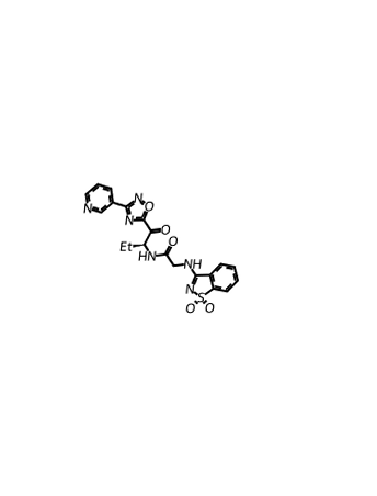 CC[C@H](NC(=O)CNC1=NS(=O)(=O)c2ccccc21)C(=O)c1nc(-c2cccnc2)no1